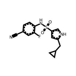 N#Cc1ccc(NS(=O)(=O)c2c[nH]c(CC3CC3)c2)c(F)c1